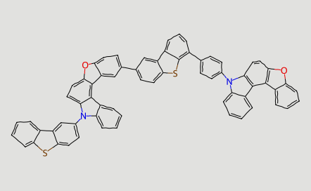 c1ccc2c(c1)oc1ccc3c(c4ccccc4n3-c3ccc(-c4cccc5c4sc4ccc(-c6ccc7oc8ccc9c(c%10ccccc%10n9-c9ccc%10sc%11ccccc%11c%10c9)c8c7c6)cc45)cc3)c12